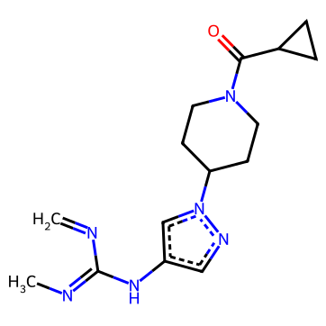 C=N/C(=N\C)Nc1cnn(C2CCN(C(=O)C3CC3)CC2)c1